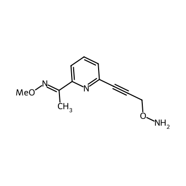 CO/N=C(\C)c1cccc(C#CCON)n1